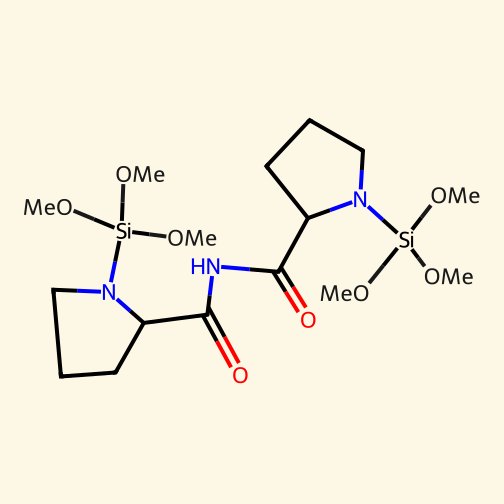 CO[Si](OC)(OC)N1CCCC1C(=O)NC(=O)C1CCCN1[Si](OC)(OC)OC